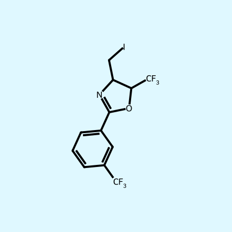 FC(F)(F)c1cccc(C2=NC(CI)C(C(F)(F)F)O2)c1